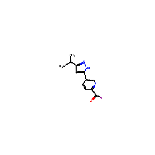 CC(C)c1cc(-c2ccc(C(=O)I)nc2)[nH]n1